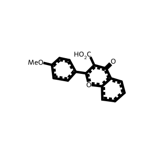 COc1ccc(-c2oc3ccccc3c(=O)c2C(=O)O)cc1